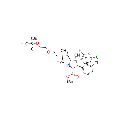 CC(C)(CCOCCO[Si](C)(C)C(C)(C)C)C[C@@H]1N[C@@H](C(=O)OC(C)(C)C)[C@H](c2cccc(Cl)c2F)[C@@]1(C#N)c1ccc(Cl)cc1F